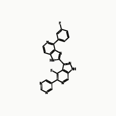 Fc1cccc(-c2nccc3[nH]c(-c4n[nH]c5cnc(-c6cncnc6)c(F)c45)nc23)c1